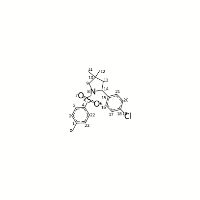 Cc1ccc(S(=O)(=O)N2CC(C)(C)CC2c2ccc(Cl)cc2)cc1